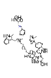 Cc1ncsc1-c1ccc([C@@H](C)NC(=O)[C@@H]2C[C@H](O)CN2C(=O)[C@H](NC(=O)CCOCCN(CCc2c(C)[nH]c3ccccc23)Cc2ccc(/C=C/C(=O)NO)cc2)C(C)(C)C)cc1